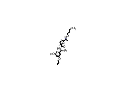 C=CCOC1=CC(O)OC([C@@H](CCC)NC(=O)[C@]2(C)CSC(/C(C)=N/OCCCN)=N2)=C1